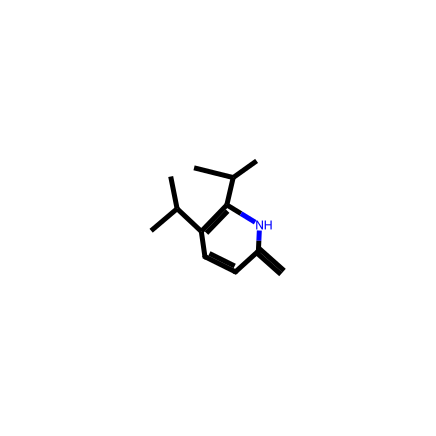 C=C1C=CC(C(C)C)=C(C(C)C)N1